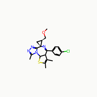 COC[C@@H]1C[C@]12N=C(c1ccc(Cl)cc1)C1C(C)=C(C)SC1n1c(C)nnc12